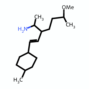 COC(C)CCC(C=CC1CCC(C)CC1)C(C)N